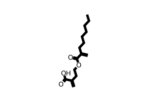 C=C(CCOC(=O)C(=C)CCCCCCC)C(=O)O